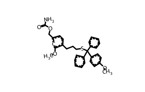 COc1ccc(C(SCCCc2ccc(COC(N)=O)cc2OC)(c2ccccc2)c2ccccc2)cc1